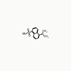 CN(C)c1cccc2c(S(=O)(=O)C(C)(C)C)cccc12